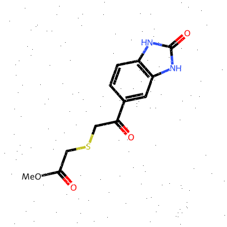 COC(=O)CSCC(=O)c1ccc2[nH]c(=O)[nH]c2c1